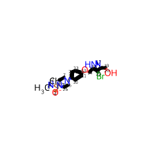 CN(C)[S+]([O-])N1CCN(c2ccc(OCc3[nH]nc(CO)c3Br)cc2)CC1